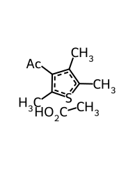 CC(=O)O.CC(=O)c1c(C)sc(C)c1C